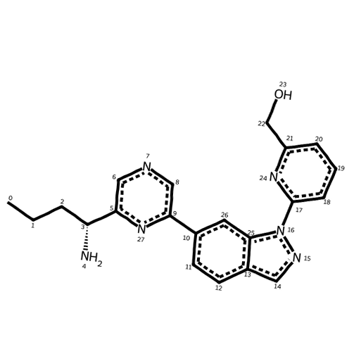 CCC[C@@H](N)c1cncc(-c2ccc3cnn(-c4cccc(CO)n4)c3c2)n1